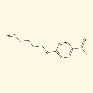 C=CCCCCOc1ccc(C(C)=O)cc1